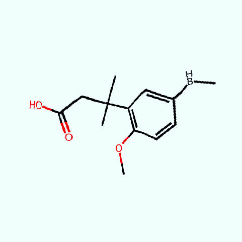 CBc1ccc(OC)c(C(C)(C)CC(=O)O)c1